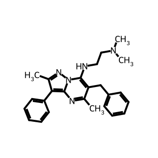 Cc1nc2c(-c3ccccc3)c(C)nn2c(NCCN(C)C)c1Cc1ccccc1